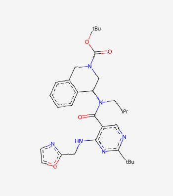 CC(C)CN(C(=O)c1cnc(C(C)(C)C)nc1NCc1ncco1)C1CN(C(=O)OC(C)(C)C)Cc2ccccc21